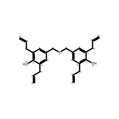 C=CCc1cc(CSCc2cc(CC=C)c(O)c(CC=C)c2)cc(CC=C)c1O